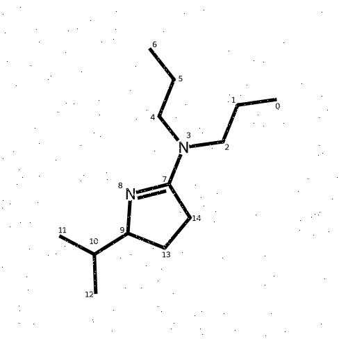 CCCN(CCC)C1=NC(C(C)C)CC1